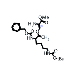 C=C(O/C=C(\N)C(=O)OC)C(CCCCNC(=O)OC(C)(C)C)NC(=O)OCc1ccccc1